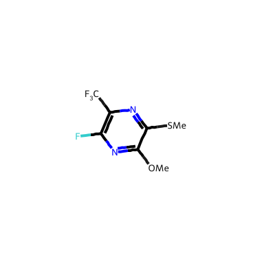 COc1nc(F)c(C(F)(F)F)nc1SC